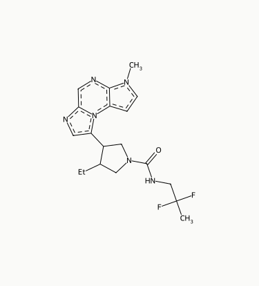 CCC1CN(C(=O)NCC(C)(F)F)CC1c1cnc2cnc3c(ccn3C)n12